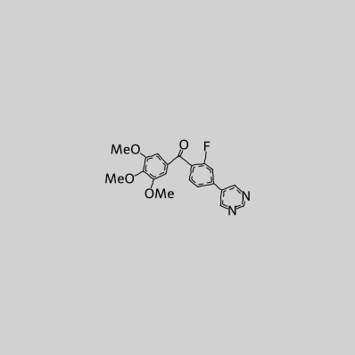 COc1cc(C(=O)c2ccc(-c3cncnc3)cc2F)cc(OC)c1OC